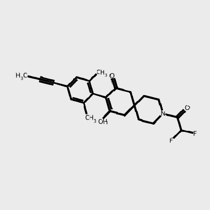 CC#Cc1cc(C)c(C2=C(O)CC3(CCN(C(=O)C(F)F)CC3)CC2=O)c(C)c1